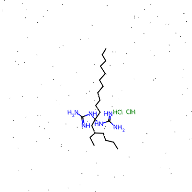 CCCCCCCCCCCC(CC(CC)CCCC)(NC(=N)N)NC(=N)N.Cl.Cl